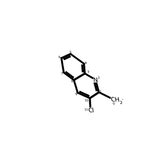 [CH2]c1nc2ccccc2cc1Cl